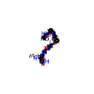 CNc1cc(N2CCN(C(=O)CN3CCN(CCCOc4cccc(-c5ccc(N6CCc7cccc(C(=O)Nc8nc9ccccc9s8)c7C6)nc5C(=O)O)c4C)CC3)CC2)ccc1C(=N)C1CCC(=O)NC1=O